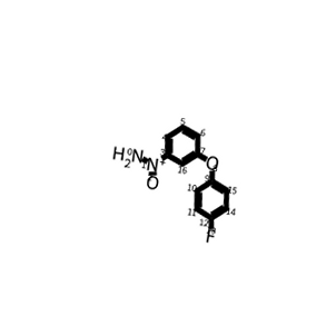 N[N+](=O)c1c[c]cc(Oc2ccc(F)cc2)c1